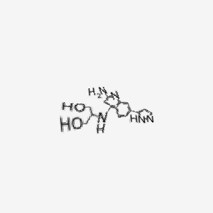 Nc1cc(NC(CO)CO)c2ccc(-c3ccn[nH]3)cc2n1